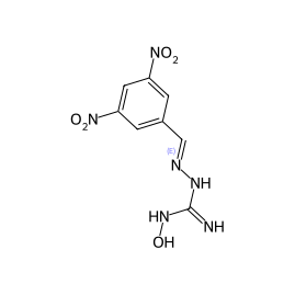 N=C(NO)N/N=C/c1cc([N+](=O)[O-])cc([N+](=O)[O-])c1